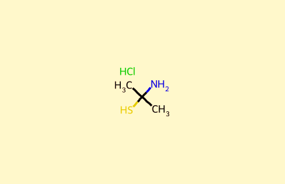 CC(C)(N)S.Cl